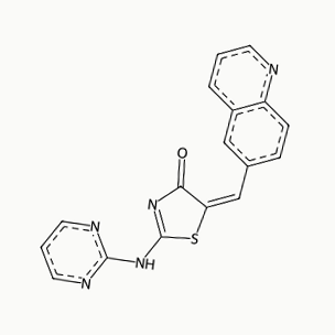 O=C1N=C(Nc2ncccn2)SC1=Cc1ccc2ncccc2c1